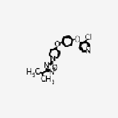 CC(C)c1noc(N2CCC(O[C@H]3CC[C@H](Oc4ccncc4Cl)CC3)CC2)n1